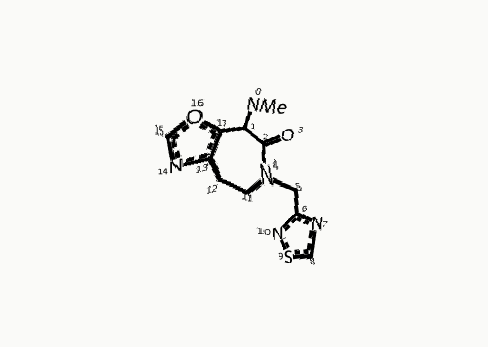 CNC1C(=O)N(Cc2ncsn2)CCc2ncoc21